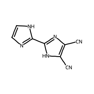 N#Cc1nc(-c2ncc[nH]2)[nH]c1C#N